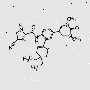 CCC1(CC)CC=C(c2cc(C3CN(C)C(=O)N(C)C3)ccc2NC(=O)C2=NC(C#N)CN2)CC1